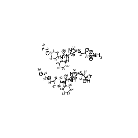 CCCOC1CCC(N(C(=O)Nc2ncc(SCC(=O)CS(N)(=O)=O)s2)C2CCCCC2)CC1.COCCOCC1CCC(N(C(=O)Nc2ncc(SC(C)(C)C(=O)O)s2)C2CCCCC2)CC1